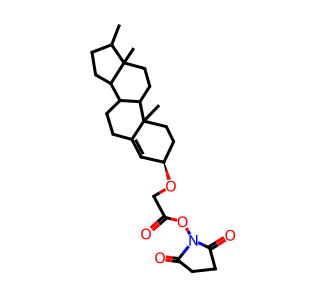 CC1CCC2C3CCC4=C[C@H](OCC(=O)ON5C(=O)CCC5=O)CCC4(C)C3CCC12C